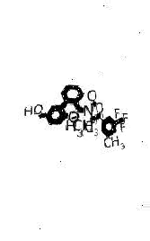 COc1ccc(CO)cc1C1=C(CN2C(=O)O[C@H](c3cc(C)cc(C(F)(F)F)c3)[C@@H]2C)CCCC1